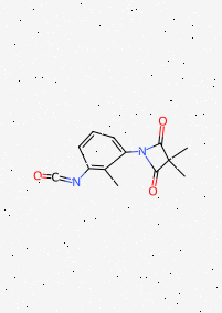 Cc1c(N=C=O)cccc1N1C(=O)C(C)(C)C1=O